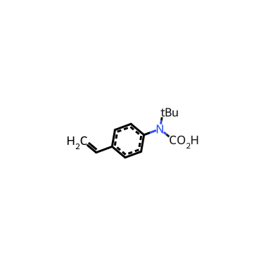 C=Cc1ccc(N(C(=O)O)C(C)(C)C)cc1